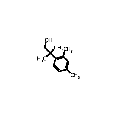 Cc1ccc(C(C)(C)CO)c(C)c1